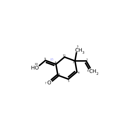 C=CC1(C)C=CC(=O)/C(=C\O)C1